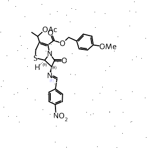 COc1ccc(COC(=O)C2=C(C(C)OC(C)=O)CS[C@@H]3[C@H](/N=C/c4ccc([N+](=O)[O-])cc4)C(=O)N23)cc1